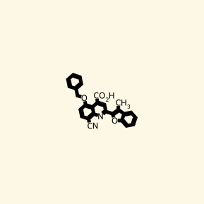 Cc1c(-c2cc(C(=O)O)c3c(OCc4ccccc4)ccc(C#N)c3n2)oc2ccccc12